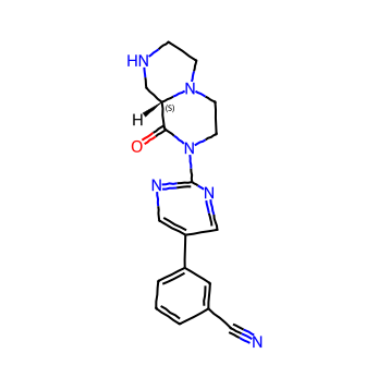 N#Cc1cccc(-c2cnc(N3CCN4CCNC[C@H]4C3=O)nc2)c1